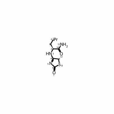 CC(C)C[C@H](NC1=NC(=O)SC1)C(N)=O